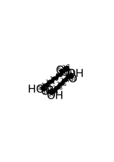 CC(C)(C)OC(=O)CCCCCCCCC(=O)O.O=C(O)CCCCCCCCC(=O)O